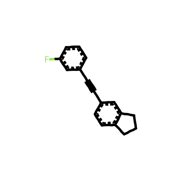 Fc1cccc(C#Cc2ccc3c(c2)CCC3)c1